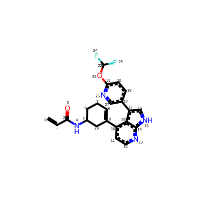 C=CC(=O)NC1CCC=C(c2ccnc3[nH]cc(-c4ccc(OC(F)F)nc4)c23)C1